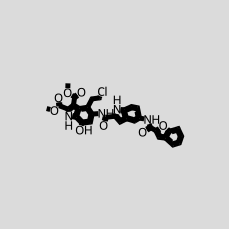 COC(=O)c1[nH]c2c(O)cc(NC(=O)c3cc4cc(NC(=O)c5cc6ccccc6o5)ccc4[nH]3)c(CCCl)c2c1C(=O)OC